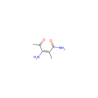 CC(=O)/C(N)=C(/C)C(N)=O